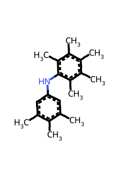 Cc1cc(Nc2c(C)c(C)c(C)c(C)c2C)cc(C)c1C